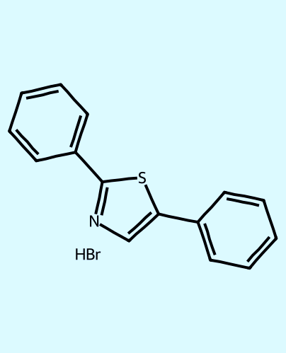 Br.c1ccc(-c2cnc(-c3ccccc3)s2)cc1